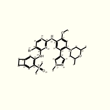 COc1cc(N2CC(C)OC(C)C2)c(-c2cnn(C)c2)cc1Nc1ncc(Br)c(Nc2cc3c(cc2P(C)(C)=O)CC3)n1